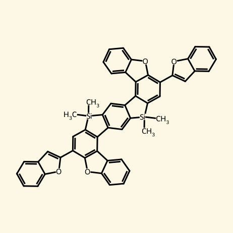 C[Si]1(C)c2cc3c(cc2-c2c1cc(-c1cc4ccccc4o1)c1oc4ccccc4c21)[Si](C)(C)c1cc(-c2cc4ccccc4o2)c2oc4ccccc4c2c1-3